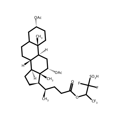 CC(=O)O[C@@H]1CC[C@@]2(C)C(CC[C@H]3[C@@H]4CC[C@H]([C@H](C)CCC(=O)OC(C(F)(F)F)C(F)(F)S(=O)(=O)O)[C@@]4(C)[C@@H](OC(C)=O)C[C@@H]32)C1